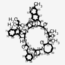 C=CC(C)(C)n1cc(C[C@@H]2NC(=O)[C@H](Cc3ccccc3)NC(=O)[C@H](CC(C)C)N3CC/C=C\CC(C3=O)N(C)C(=O)[C@H](C)NC(=O)[C@H](Cc3ccc4cnc(C)cc4c3)NC(=O)[C@H](CC(C)C)N(C)C2=O)c2ccccc21